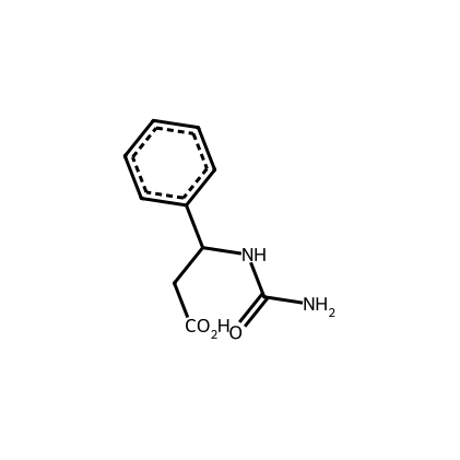 NC(=O)NC(CC(=O)O)c1ccccc1